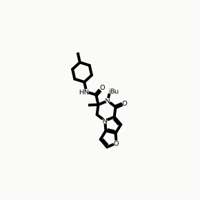 CCC(C)N1C(=O)c2cc3occc3n2CC1(C)C(=O)NC1CCC(C)CC1